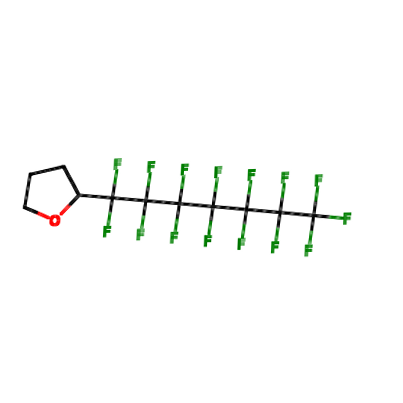 FC(F)(F)C(F)(F)C(F)(F)C(F)(F)C(F)(F)C(F)(F)C(F)(F)C1CCCO1